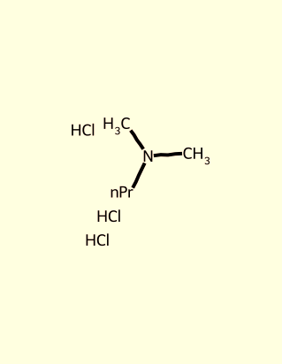 CCCN(C)C.Cl.Cl.Cl